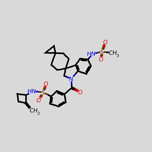 C=C1CCC1NS(=O)(=O)c1cccc(C(=O)N2CC3(CCC4(CC4)CC3)c3cc(NS(C)(=O)=O)ccc32)c1